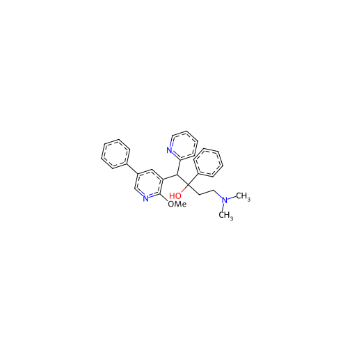 COc1ncc(-c2ccccc2)cc1C(c1ccccn1)C(O)(CCN(C)C)c1ccccc1